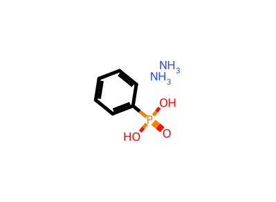 N.N.O=P(O)(O)c1ccccc1